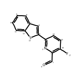 O=Cc1nc(-c2cc3ccccc3s2)ccc1F